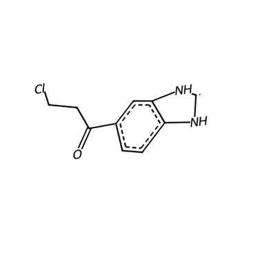 O=C(CCCl)c1ccc2c(c1)N[CH]N2